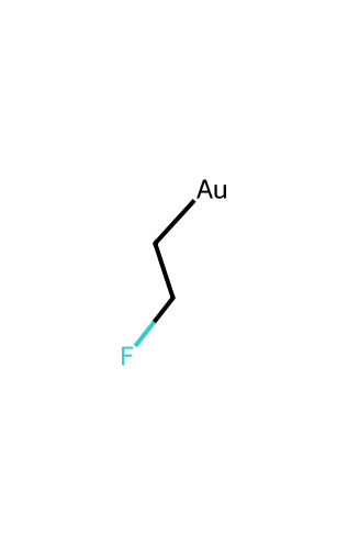 FC[CH2][Au]